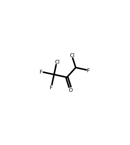 O=C(C(F)Cl)C(F)(F)Cl